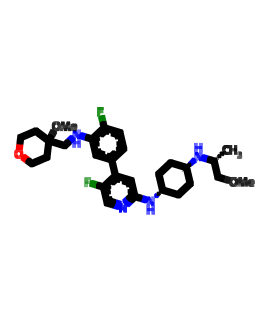 COC[C@@H](C)N[C@H]1CC[C@H](Nc2cc(-c3ccc(F)c(NCC4(OC)CCOCC4)c3)c(F)cn2)CC1